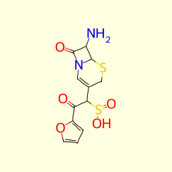 NC1C(=O)N2C=C(C(C(=O)c3ccco3)S(=O)O)CSC12